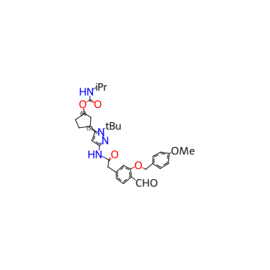 COc1ccc(COc2cc(CC(=O)Nc3cc([C@H]4CC[C@@H](OC(=O)NC(C)C)C4)n(C(C)(C)C)n3)ccc2C=O)cc1